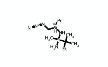 CCC(C)(C)[Si](C)(N)N[Si@@H](CN=[N+]=[N-])C(C)C